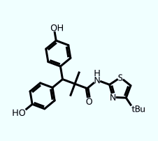 CC(C)(C)c1csc(NC(=O)C(C)(C)C(c2ccc(O)cc2)c2ccc(O)cc2)n1